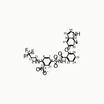 O=C(NS(=O)(=O)c1ccc(NCCC(F)(F)F)c([N+](=O)[O-])c1)c1ccccc1Oc1cnc2[nH]ccc2c1